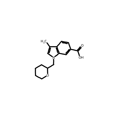 Cc1cn(CC2CCCCO2)c2cc(C(=O)O)ccc12